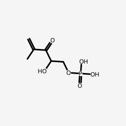 C=C(C)C(=O)C(O)COP(=O)(O)O